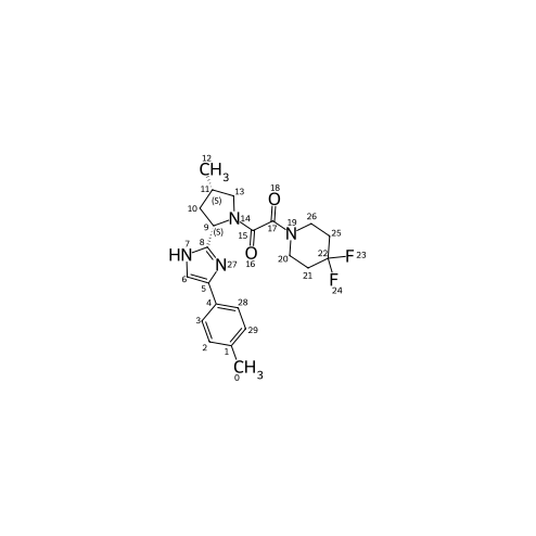 Cc1ccc(-c2c[nH]c([C@@H]3C[C@H](C)CN3C(=O)C(=O)N3CCC(F)(F)CC3)n2)cc1